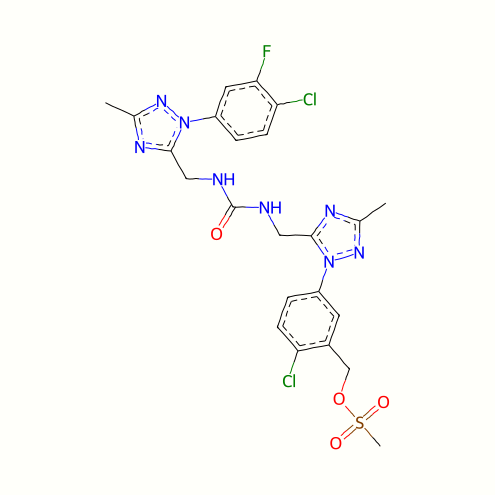 Cc1nc(CNC(=O)NCc2nc(C)nn2-c2ccc(Cl)c(COS(C)(=O)=O)c2)n(-c2ccc(Cl)c(F)c2)n1